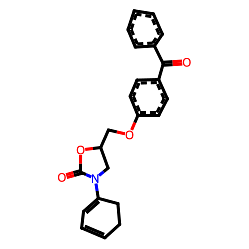 O=C(c1ccccc1)c1ccc(OCC2CN(C3=CC=CCC3)C(=O)O2)cc1